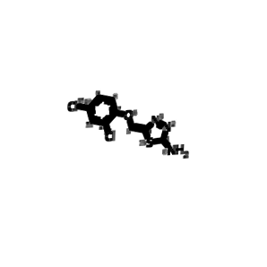 NC1N=NC(=COc2ccc(Cl)cc2Cl)S1